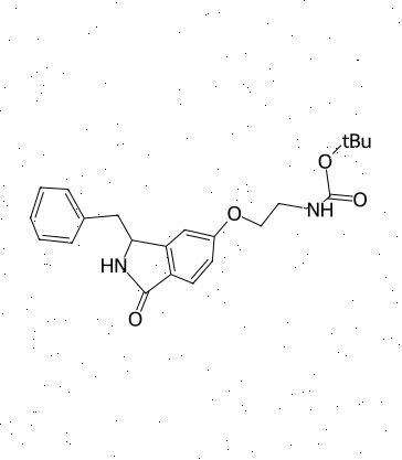 CC(C)(C)OC(=O)NCCOc1ccc2c(c1)C(Cc1ccccc1)NC2=O